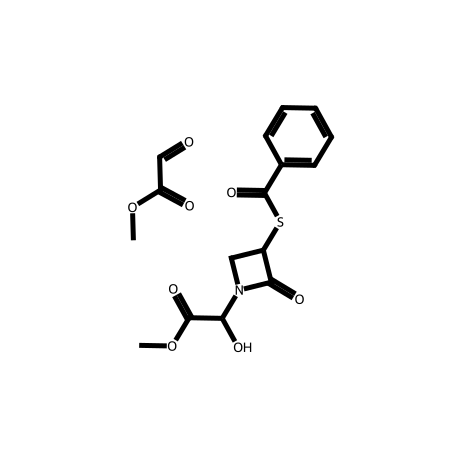 COC(=O)C(O)N1CC(SC(=O)c2ccccc2)C1=O.COC(=O)C=O